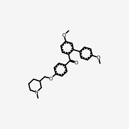 COc1ccc(-c2cc(OC)ccc2C(=O)c2ccc(OCC3CCCN(C)C3)cc2)cc1